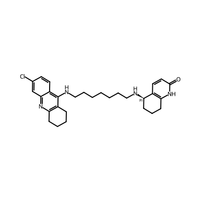 O=c1ccc2c([nH]1)CCC[C@H]2NCCCCCCCNc1c2c(nc3cc(Cl)ccc13)CCCC2